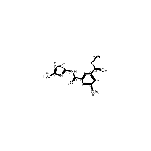 CC(=O)Oc1cc(C(=O)Nc2nc(C(F)(F)F)ns2)cc(C(=O)OC(C)C)c1